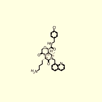 C[C@H]1[C@@H]2N(C(=O)NCc3ccc(Cl)cc3)OCC(=O)N2[C@@H](CCCCN)C(=O)N1Cc1cccc2cccnc12